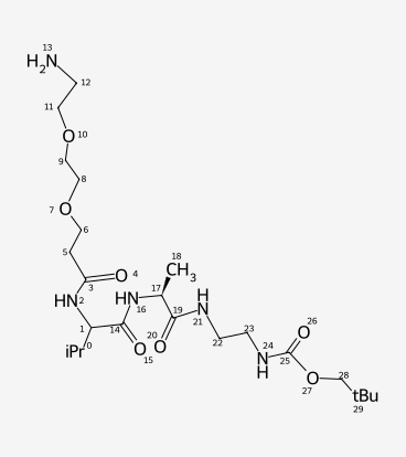 CC(C)C(NC(=O)CCOCCOCCN)C(=O)N[C@@H](C)C(=O)NCCNC(=O)OCC(C)(C)C